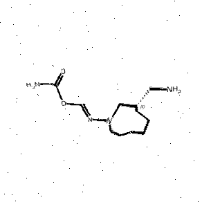 NC[C@@H]1CCCN(N=COC(N)=O)C1